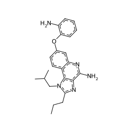 CCCc1nc2c(N)nc3cc(Oc4ccccc4N)ccc3c2n1CC(C)C